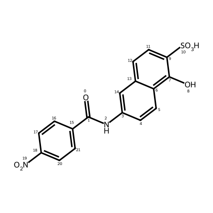 O=C(Nc1ccc2c(O)c(S(=O)(=O)O)ccc2c1)c1ccc([N+](=O)[O-])cc1